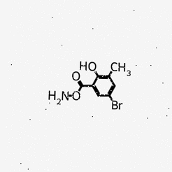 Cc1cc(Br)cc(C(=O)ON)c1O